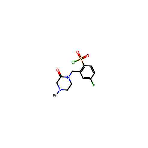 CCN1CCN(Cc2cc(F)ccc2S(=O)(=O)Cl)C(=O)C1